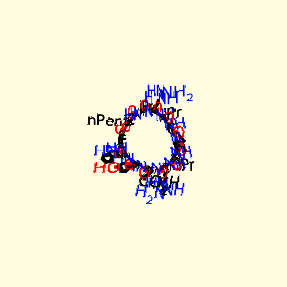 CCCCC[C@@H]1CC(=O)N[C@@H](C(C)C)C(=O)N[C@H](CCCNC(=N)N)C(=O)N[C@@H](C(C)C)C(=O)NCC(=O)N2CCC[C@H]2C(=O)N[C@@H](CC(C)C)C(=O)N[C@H](CCCNC(=N)N)C(=O)N[C@@H](CCC(=O)O)C(=O)N[C@H](Cc2ccc(O)cc2)C(=O)N[C@H](Cc2c[nH]c3ccccc23)C(=O)NCCCC(=O)O1